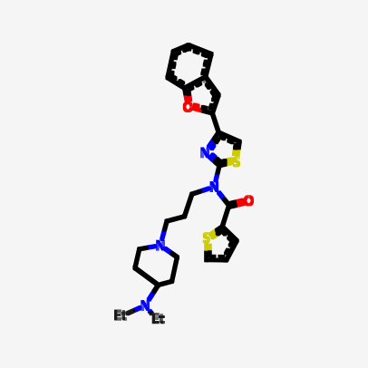 CCN(CC)C1CCN(CCCN(C(=O)c2cccs2)c2nc(-c3cc4ccccc4o3)cs2)CC1